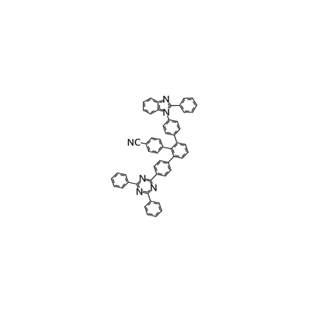 N#Cc1ccc(-c2c(-c3ccc(-c4nc(-c5ccccc5)nc(-c5ccccc5)n4)cc3)cccc2-c2ccc(-n3c(-c4ccccc4)nc4ccccc43)cc2)cc1